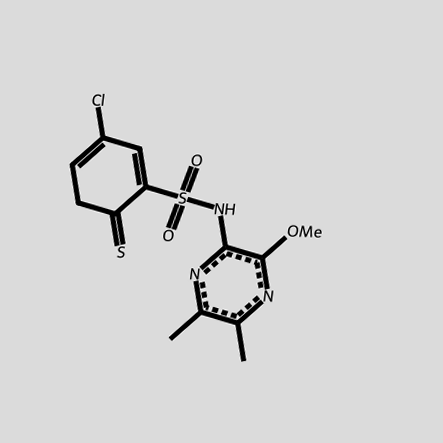 COc1nc(C)c(C)nc1NS(=O)(=O)C1=CC(Cl)=CCC1=S